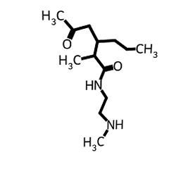 CCCC(CC(C)=O)C(C)C(=O)NCCNC